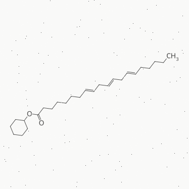 CCCCCC=CCC=CCC=CCCCCCCC(=O)OC1CCCCC1